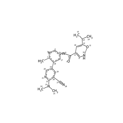 Cc1ncc(NC(=O)C2=CNOC(C(C)C)=C2)cc1-c1cnc(N(C)C)c(C#N)c1